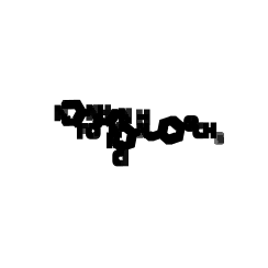 COc1ccc(CNc2cc(Cl)nn3c(C(=O)Nc4ccncc4F)cnc23)cc1